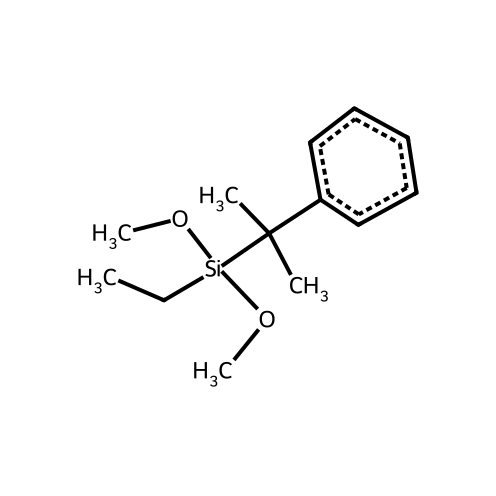 CC[Si](OC)(OC)C(C)(C)c1ccccc1